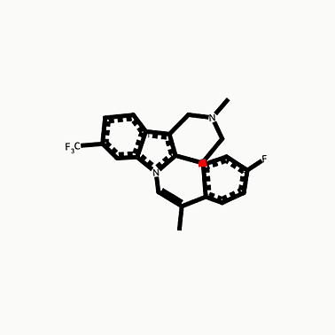 C/C(=C/n1c2c(c3ccc(C(F)(F)F)cc31)CN(C)CC2)c1ccc(F)cc1